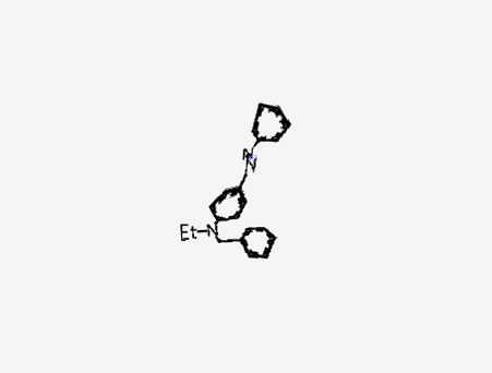 CCN(Cc1ccccc1)c1ccc(/N=N/c2ccccc2)cc1